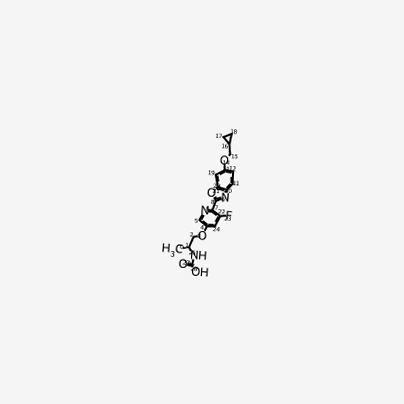 C[C@@H](COc1cnc(-c2nc3ccc(OCC4CC4)cc3o2)c(F)c1)NC(=O)O